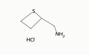 Cl.NCC1CCS1